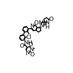 COc1nc(-c2cccc(-c3cccc(NC(=O)c4cn(C)c(=O)n(C)c4=O)c3Cl)c2C)cc2c1[C@@H](N1CC3(CCC(=O)N3)C1)CC2